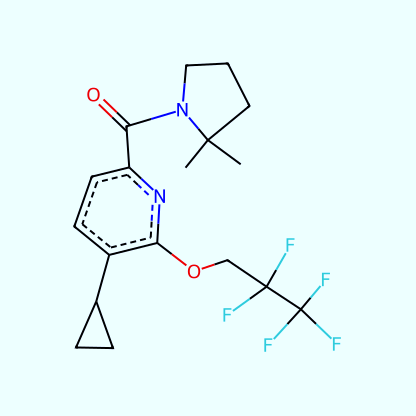 CC1(C)CCCN1C(=O)c1ccc(C2CC2)c(OCC(F)(F)C(F)(F)F)n1